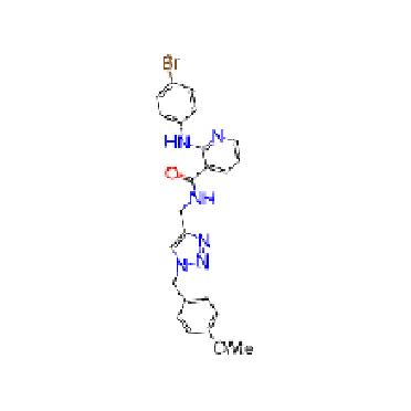 COc1ccc(Cn2cc(CNC(=O)c3cccnc3Nc3ccc(Br)cc3)nn2)cc1